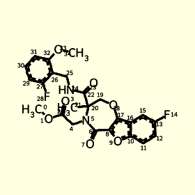 COC(=O)CN1C(=O)c2oc3ccc(F)cc3c2OCC1(C)C(=O)NCc1c(F)cccc1OC